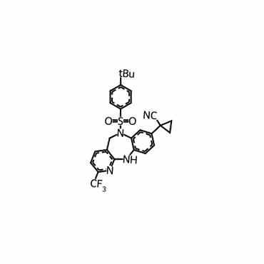 CC(C)(C)c1ccc(S(=O)(=O)N2Cc3ccc(C(F)(F)F)nc3Nc3ccc(C4(C#N)CC4)cc32)cc1